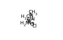 Cc1cnc(COc2nc(N)nc(-c3ccc(Cl)o3)c2C#N)c(C)c1